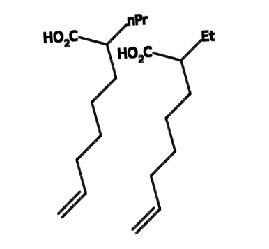 C=CCCCCC(CC)C(=O)O.C=CCCCCC(CCC)C(=O)O